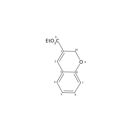 CCOC(=O)C1=Cc2ccccc2OC1